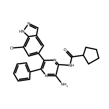 Nc1nc(-c2ccccc2)c(-c2cc(Cl)c3[nH]ncc3c2)nc1NC(=O)C1CCCC1